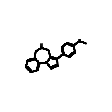 COc1ccc(-c2cnn3c2CNCc2ccccc2-3)cc1